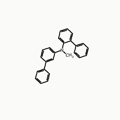 CN(c1cccc(-c2ccccc2)c1)c1ccccc1-c1ccccc1